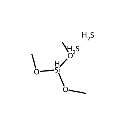 CO[SiH](OC)OC.S.S